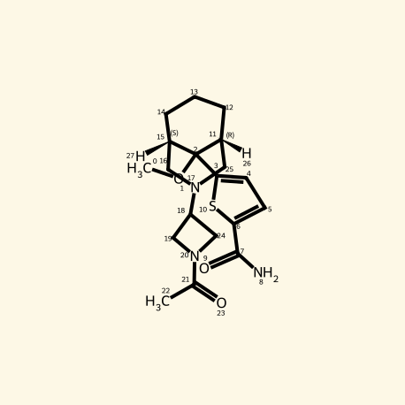 COC1(c2ccc(C(N)=O)s2)[C@@H]2CCC[C@H]1CN(C1CN(C(C)=O)C1)C2